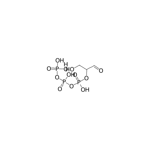 O=CC(CO)OP(=O)(O)OP(=O)(O)OP(=O)(O)O